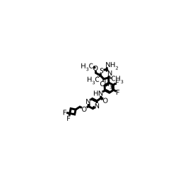 COC[C@@]1(C)SC(N)=N[C@](C)(c2cc(NC(=O)c3cnc(OCC4CC(F)(F)C4)cn3)cc(F)c2F)[C@@H]1C